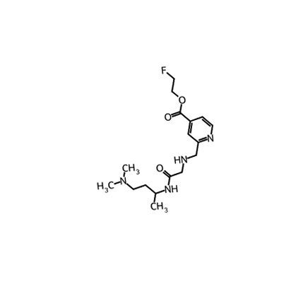 CC(CCN(C)C)NC(=O)CNCc1cc(C(=O)OCCF)ccn1